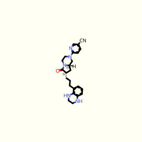 N#Cc1ccc(N2CCN3C(=O)[C@@H](CCCc4cccc5c4NCCN5)C[C@H]3C2)nc1